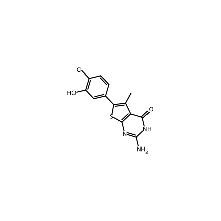 Cc1c(-c2ccc(Cl)c(O)c2)sc2nc(N)[nH]c(=O)c12